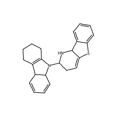 C1=CC2C3=C(CCCC3)N(C3CC=C4Sc5ccccc5C4N3)C2C=C1